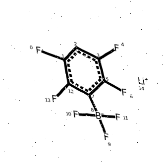 Fc1cc(F)c(F)c([B-](F)(F)F)c1F.[Li+]